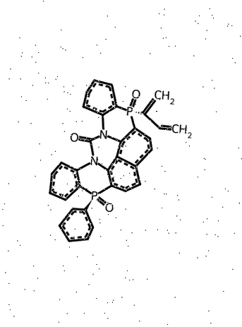 C=CC(=C)[P@@]1(=O)c2ccccc2N2C(=O)N3c4ccccc4[P@](=O)(c4ccccc4)c4ccc5ccc1c2c5c43